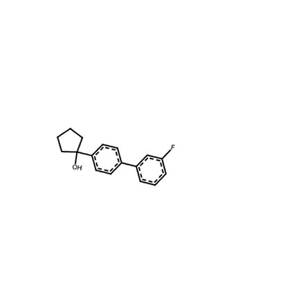 OC1(c2ccc(-c3cccc(F)c3)cc2)CCCC1